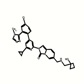 Cn1cnnc1-c1cc(Cl)ccc1-c1cc(C2CC2)nc(-n2cc3ccc(CNCC4(O)CCC4)cn3c2=O)c1